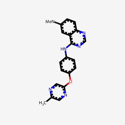 CNc1ccc2ncnc(Nc3ccc(Oc4cnc(C)cn4)cc3)c2c1